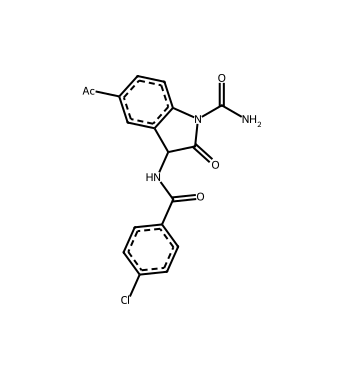 CC(=O)c1ccc2c(c1)C(NC(=O)c1ccc(Cl)cc1)C(=O)N2C(N)=O